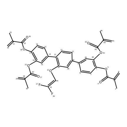 C=C(C)C(=O)Oc1ccc(-c2ccc(-c3ccc(OC(=O)C(=C)C)c(OC(=O)C(=C)C)c3)c(OC=C(F)F)c2)cc1OC(=O)C(=C)C